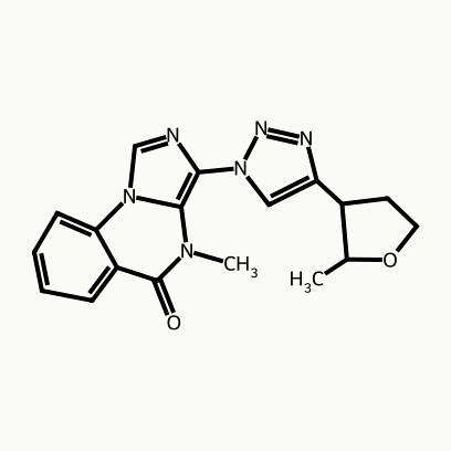 CC1OCCC1c1cn(-c2ncn3c4ccccc4c(=O)n(C)c23)nn1